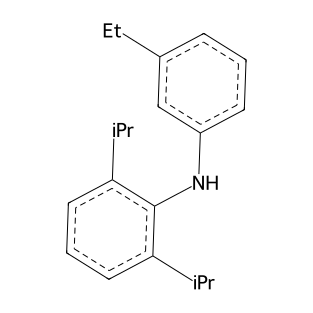 CCc1cccc(Nc2c(C(C)C)cccc2C(C)C)c1